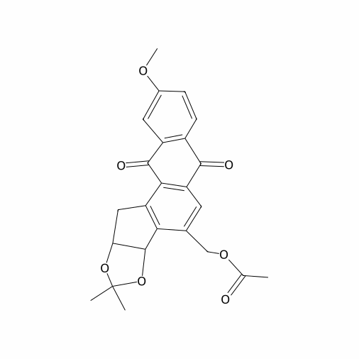 COc1ccc2c(c1)C(=O)c1c(cc(COC(C)=O)c3c1CC1OC(C)(C)OC31)C2=O